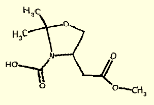 COC(=O)CC1COC(C)(C)N1C(=O)O